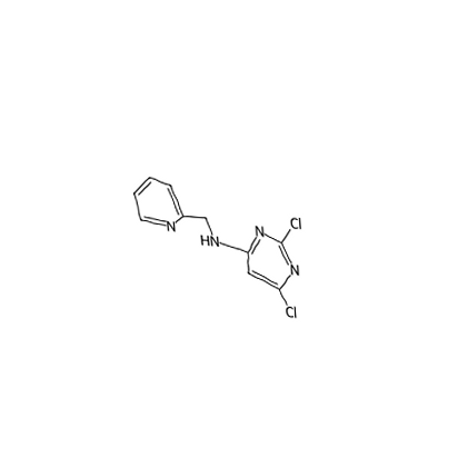 Clc1cc(NCc2ccccn2)nc(Cl)n1